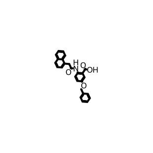 O=C(Cc1cccc2ccccc12)Nc1ccc(OCc2ccccc2)cc1C(=O)O